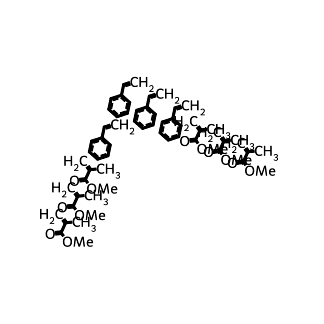 C=C(C)C(=O)OC.C=C(C)C(=O)OC.C=C(C)C(=O)OC.C=C(C)C(=O)OC.C=C(C)C(=O)OC.C=C(C)C(=O)OC.C=Cc1ccccc1.C=Cc1ccccc1.C=Cc1ccccc1.C=Cc1ccccc1